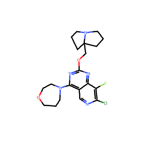 Fc1c(Cl)ncc2c(N3CCCOCC3)nc(OCC34CCCN3CCC4)nc12